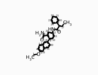 CCOc1ccc2cc(-c3ccc(NC(=O)C(CC)c4ccccc4)cc3C(N)=O)ccc2c1